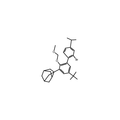 COCOc1c(-c2ccc(C(C)C)cc2Br)cc(C(C)(C)C)cc1C12CC3CC(CC1C3)C2